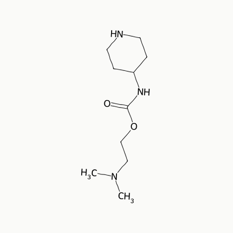 CN(C)CCOC(=O)NC1CCNCC1